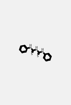 S=C(NC(=S)Nc1ccccc1)Nc1ccccc1